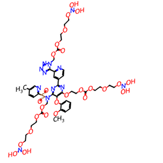 COc1ccccc1Oc1c(OCCOC(=O)OCCOCCON(O)O)nc(-c2ccnc(-c3nnnn3COC(=O)OCCOCCON(O)O)c2)nc1N(COC(=O)OCCOCCON(O)O)S(=O)(=O)c1ccc(C)cn1